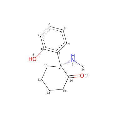 CN[C@@]1(c2ccccc2O)CCCCC1=O